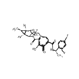 C[C@H]1C2O[C@@H]3Cn4cc(C(=O)N[C@H](C)c5ccc(F)cc5F)c(=O)c(O)c4C(=O)N3C1[C@H]1[C@@H](C)[C@@H]21